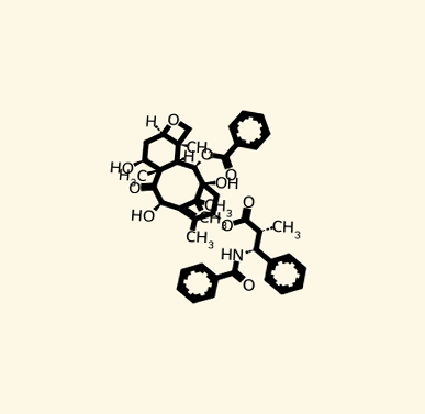 CC1=C2[C@@H](O)C(=O)[C@@]3(C)[C@H]([C@H](OC(=O)c4ccccc4)[C@](O)(C[C@@H]1OC(=O)[C@H](C)[C@@H](NC(=O)c1ccccc1)c1ccccc1)C2(C)C)[C@]1(C)CO[C@@H]1C[C@@H]3O